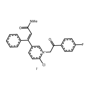 CNC(=O)/C=C(\c1ccccc1)c1ccc(Cl)[n+](CC(=O)c2ccc(F)cc2)c1.[I-]